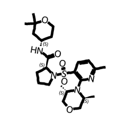 Cc1ccc(S(=O)(=O)N2CCC[C@H]2C(=O)N[C@H]2CCOC(C)(C)C2)c(N2[C@@H](C)COC[C@@H]2C)n1